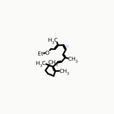 CCOCC=C(C)/C=C\C=C(C)C=CC1=C(C)CCCC1(C)C